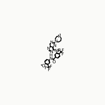 COc1ccc(NC(=O)c2ccc(C(F)(F)F)c(Nc3ncnc4cnc(N5CCCN(C)CC5)nc34)c2)cc1C(F)(F)F